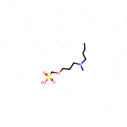 CCCCN(C)CCCOCS(=O)(=O)O